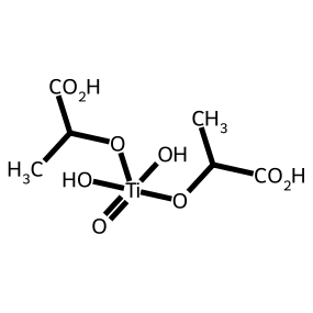 CC([O][Ti](=[O])([OH])([OH])[O]C(C)C(=O)O)C(=O)O